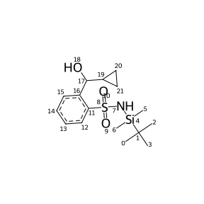 CC(C)(C)[Si](C)(C)NS(=O)(=O)c1ccccc1C(O)C1CC1